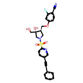 N#Cc1ccc(OC[C@H]2CN(S(=O)(=O)c3ccc(C#Cc4ccccc4)cn3)C[C@@]2(O)CO)cc1F